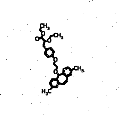 CCOC(=O)C(Cc1ccc(OCCOC2c3ccc(C)cc3C=Cc3cc(C)ccc32)cc1)OCC